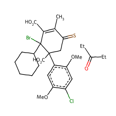 CCC(=O)CC.COc1cc(C2(C(=O)O)CC(=S)C(C)=C(C(=O)O)C2(Br)C2CCCCC2)c(OC)cc1Cl